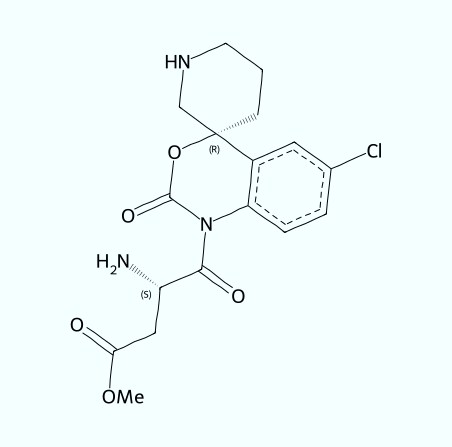 COC(=O)C[C@H](N)C(=O)N1C(=O)O[C@]2(CCCNC2)c2cc(Cl)ccc21